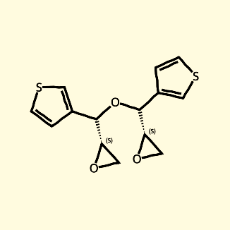 c1cc(C(OC(c2ccsc2)[C@@H]2CO2)[C@@H]2CO2)cs1